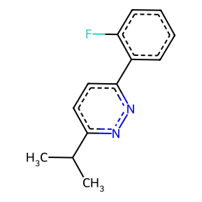 CC(C)c1ccc(-c2ccccc2F)nn1